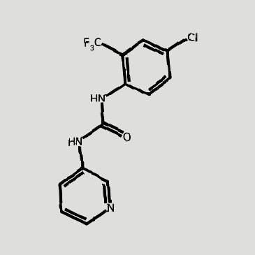 O=C(Nc1cccnc1)Nc1ccc(Cl)cc1C(F)(F)F